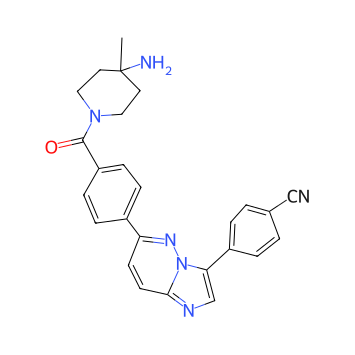 CC1(N)CCN(C(=O)c2ccc(-c3ccc4ncc(-c5ccc(C#N)cc5)n4n3)cc2)CC1